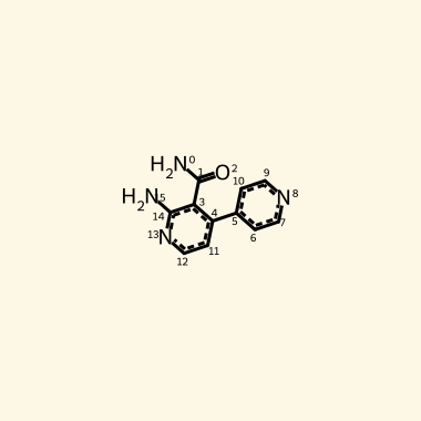 NC(=O)c1c(-c2ccncc2)ccnc1N